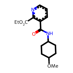 CCOC(=O)c1ncccc1C(=O)NC1CCC(OC)CC1